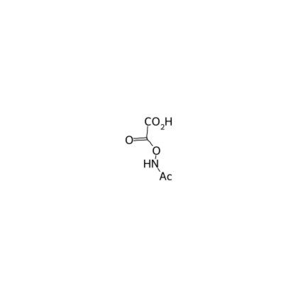 CC(=O)NOC(=O)C(=O)O